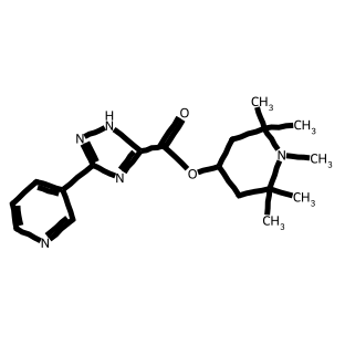 CN1C(C)(C)CC(OC(=O)c2nc(-c3cccnc3)n[nH]2)CC1(C)C